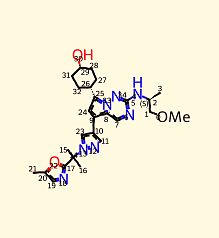 COC[C@H](C)Nc1ncc2c(-c3cnn(C(C)(C)c4ncc(C)o4)c3)cc([C@H]3CC[C@H](O)CC3)n2n1